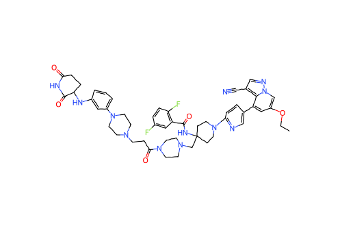 CCOc1cc(-c2ccc(N3CCC(CN4CCN(C(=O)CCN5CCN(c6cccc(NC7CCC(=O)NC7=O)c6)CC5)CC4)(NC(=O)c4cc(F)ccc4F)CC3)nc2)c2c(C#N)cnn2c1